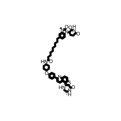 C[C@@H]1CNc2c(sc3ccc4nc(-c5ccc(OC6CCC(NC(=O)CCCCCCCCCc7ccc8c(c7)n(C)c(=O)n8C7CCC(=O)NC7=O)CC6)cc5)ccc4c23)C(=O)N1